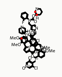 COc1ccc([C@H](Cc2c(Cl)c[n+]([O-])cc2Cl)OC(=O)C2=CC=C(CN(C(=O)O[C@H]3CN4CCC3CC4)c3ccccc3CO)[S]2C(c2c(Cl)c[n+]([O-])cc2Cl)[C@@H](OC(=O)Cn2cc(CN(C(=O)O[C@H]3CN4CCC3CC4)c3ccccc3F)cn2)c2ccc(OC)c(OC)c2)cc1OC